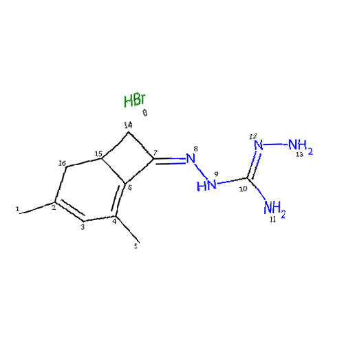 Br.CC1=CC(C)=C2C(=NNC(N)=NN)CC2C1